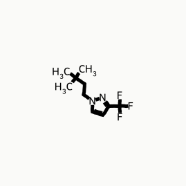 CC(C)(C)CCn1ccc(C(F)(F)F)n1